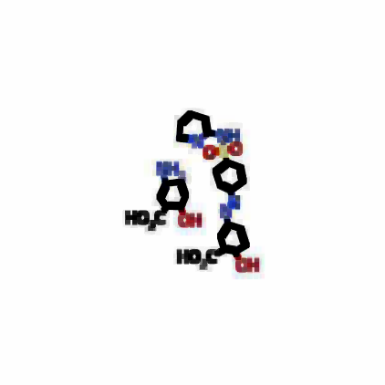 Nc1ccc(O)c(C(=O)O)c1.O=C(O)c1cc(N=Nc2ccc(S(=O)(=O)Nc3ccccn3)cc2)ccc1O